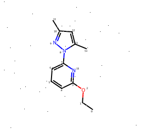 CCOc1cccc(-n2nc(C)cc2C)n1